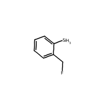 FCc1ccccc1[SiH3]